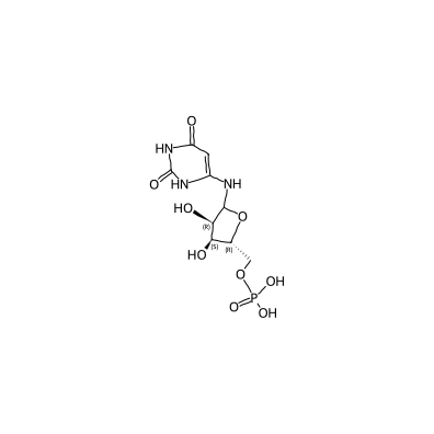 O=c1cc(NC2O[C@H](COP(=O)(O)O)[C@@H](O)[C@H]2O)[nH]c(=O)[nH]1